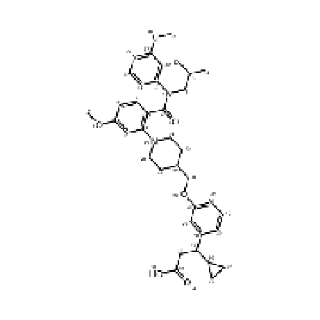 COc1ccc(C(=O)N(CC(C)C)c2ccnc(OC)c2)c(N2CCC(COc3cc(C(CC(=O)O)C4CC4)ccn3)CC2)c1